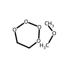 C1COOOO1.COC